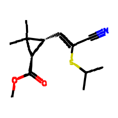 COC(=O)[C@@H]1[C@@H](/C=C(/C#N)SC(C)C)C1(C)C